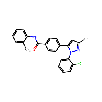 O=C(Nc1ccccc1C(F)(F)F)c1ccc(-c2cc(C(F)(F)F)nn2-c2ccccc2Cl)cc1